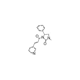 C[C@H]1C(c2ccccc2)N(C(=O)C=Cc2cccnc2)C(=O)N1C